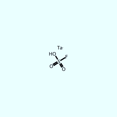 O=S(=O)(O)F.[Ta]